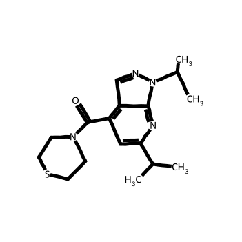 CC(C)c1cc(C(=O)N2CCSCC2)c2cnn(C(C)C)c2n1